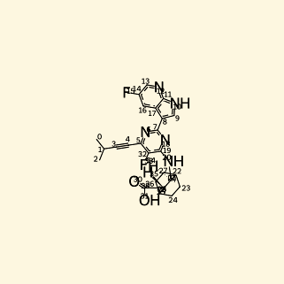 CC(C)C#Cc1nc(-c2c[nH]c3ncc(F)cc23)nc(N[C@H]2C3CCC(CC3)[C@@H]2C(=O)O)c1F